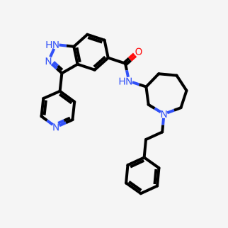 O=C(NC1CCCCN(CCc2ccccc2)C1)c1ccc2[nH]nc(-c3ccncc3)c2c1